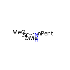 CCCCCNCCC[Si](C)(OC)OC